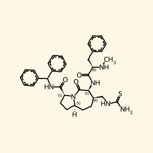 CN[C@H](Cc1ccccc1)C(=O)N[C@@H]1C(=O)N2[C@@H](CC[C@@H]1CNC(N)=S)CC[C@H]2C(=O)NC(c1ccccc1)c1ccccc1